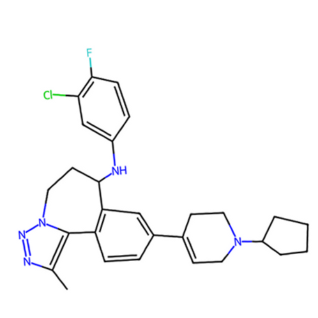 Cc1nnn2c1-c1ccc(C3=CCN(C4CCCC4)CC3)cc1C(Nc1ccc(F)c(Cl)c1)CC2